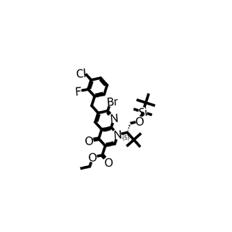 CCOC(=O)c1cn([C@H](CO[Si](C)(C)C(C)(C)C)C(C)(C)C)c2nc(Br)c(Cc3cccc(Cl)c3F)cc2c1=O